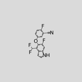 N#Cc1cc(Oc2c(F)cc3[nH]ccc3c2C(F)F)ccc1F